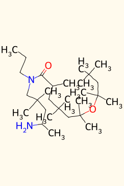 CCCN(CC(C)(C)CC(C)N)C(=O)C(C)CC(C)(C)CC(C)(C)OC(C)(C)CC(C)(C)C